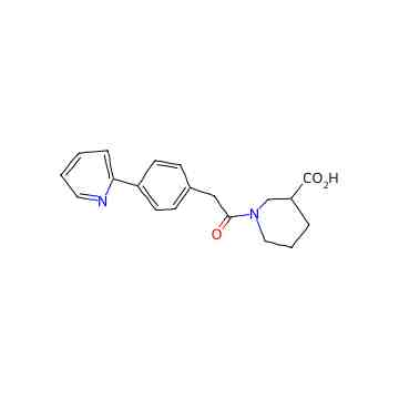 O=C(O)C1CCCN(C(=O)Cc2ccc(-c3ccccn3)cc2)C1